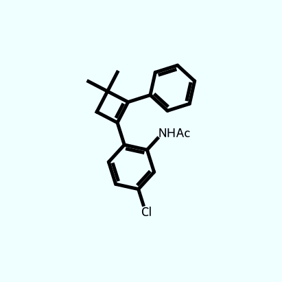 CC(=O)Nc1cc(Cl)ccc1C1=C(c2ccccc2)C(C)(C)C1